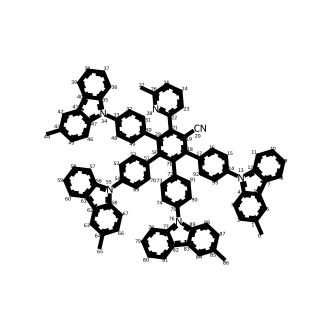 Cc1ccc2c(c1)c1ccccc1n2-c1ccc(-c2c(C#N)c(-c3cccc(C)n3)c(-c3ccc(-n4c5ccccc5c5cc(C)ccc54)cc3)c(-c3ccc(-n4c5ccccc5c5cc(C)ccc54)cc3)c2-c2ccc(-n3c4ccccc4c4cc(C)ccc43)cc2)cc1